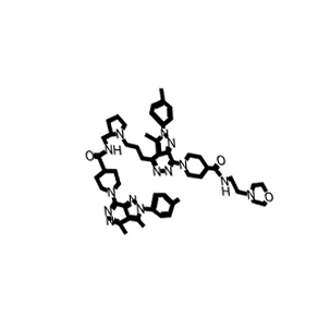 Cc1ccc(-n2nc3c(N4CCC(C(=O)NCC5CCCN5CCCc5nnc(N6CCC(C(=O)NCCN7CCOCC7)CC6)c6nn(-c7ccc(C)cc7)c(C)c56)CC4)nnc(C)c3c2C)cc1